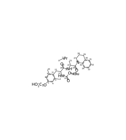 CC(C)C.Cc1cc(OC(=O)O)cc(C)c1CC(NC(=O)OC(C)(C)C)C(=O)NC(C)C(=O)N1CCCc2ccccc21